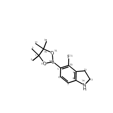 CC1(C)OB(c2ccc3c(c2F)CCN3)OC1(C)C